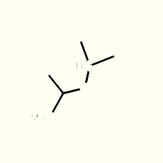 CCCC[SiH](C)OC(C)OC